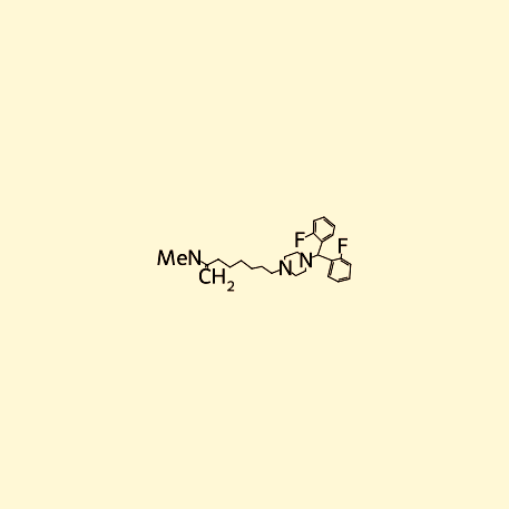 C=C(CCCCCCN1CCN(C(c2ccccc2F)c2ccccc2F)CC1)NC